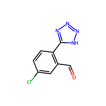 O=Cc1cc(Cl)ccc1-c1nnn[nH]1